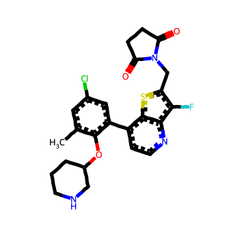 Cc1cc(Cl)cc(-c2ccnc3c(F)c(CN4C(=O)CCC4=O)sc23)c1OC1CCCNC1